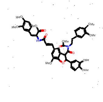 COC(=O)C(Cc1ccc(OC)c(OC)c1)NC(=O)/C=C/c1cc(OC)c2c(c1)C(C(=O)N(CCc1ccc(OC)c(OC)c1)C(=O)OC)C(c1ccc(OC)c(OC)c1)O2